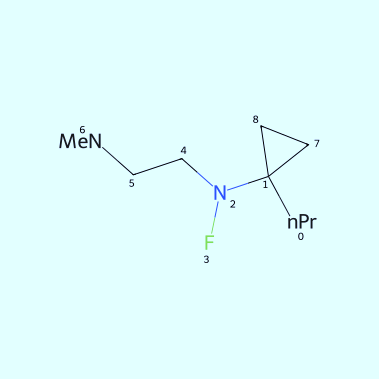 CCCC1(N(F)CCNC)CC1